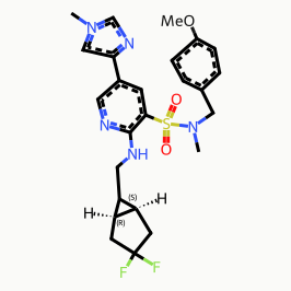 COc1ccc(CN(C)S(=O)(=O)c2cc(-c3cn(C)cn3)cnc2NCC2[C@H]3CC(F)(F)C[C@@H]23)cc1